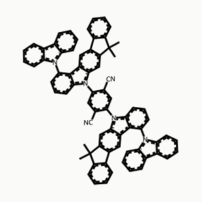 CC1(C)c2ccccc2-c2cc3c4c(-n5c6ccccc6c6ccccc65)cccc4n(-c4cc(C#N)c(-n5c6cc7c(cc6c6c(-n8c9ccccc9c9ccccc98)cccc65)-c5ccccc5C7(C)C)cc4C#N)c3cc21